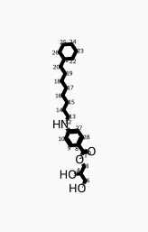 O=C(OCC(O)CO)c1ccc(NCCCCCCCCC2CCCCC2)cc1